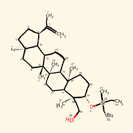 C=C(C)[C@@H]1CC[C@]2(C(C)=O)CC[C@]3(C)C(CCC4[C@@]5(C)CC[C@H](O[Si](C)(C)C(C)(C)C)[C@@](C)(CO)C5CC[C@]43C)C12